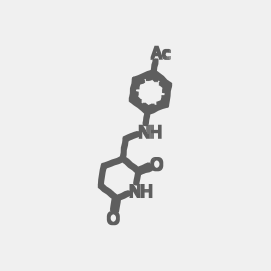 CC(=O)c1ccc(NCC2CCC(=O)NC2=O)cc1